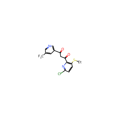 CCSc1ccc(Cl)nc1C(=O)CC(=O)c1cncc(C(F)(F)F)c1